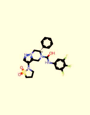 O=S1(=O)CCCN1c1cnn2c1CN(C(O)Nc1cc(F)c(F)c(F)c1)[C@@H](c1ccccc1)C2